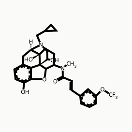 CN(C(=O)/C=C/c1cccc(OC(F)(F)F)c1)C1CC[C@@]2(O)[C@H]3Cc4ccc(O)c5c4[C@@]2(C(O)CN3CC2CC2)C1O5